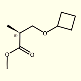 COC(=O)[C@@H](C)COC1CCC1